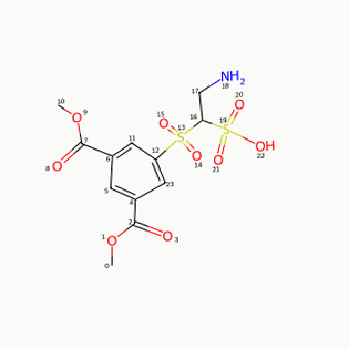 COC(=O)c1cc(C(=O)OC)cc(S(=O)(=O)C(CN)S(=O)(=O)O)c1